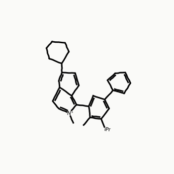 Cc1c(-c2c3ccc(C4CCCCC4)cc3cc[n+]2C)cc(-c2ccccc2)cc1C(C)C